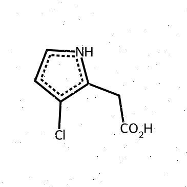 O=C(O)Cc1[nH]ccc1Cl